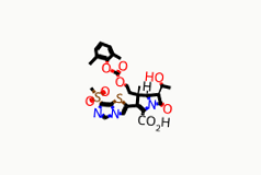 Cc1cccc(C)c1OC(=O)OCC[C@@]1(C)C(c2cn3cnc(S(C)(=O)=O)c3s2)=C(C(=O)O)N2C(=O)[C@H](C(C)O)[C@@H]21